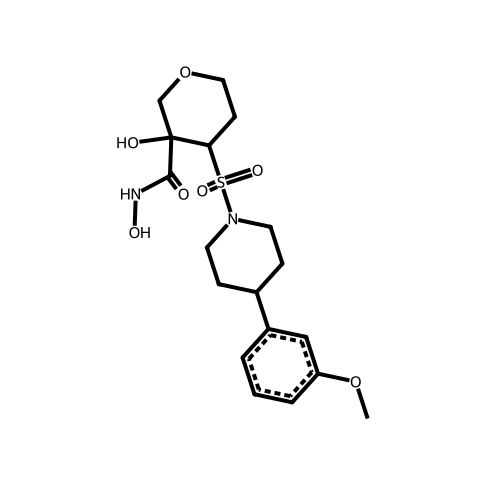 COc1cccc(C2CCN(S(=O)(=O)C3CCOCC3(O)C(=O)NO)CC2)c1